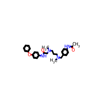 CC(=O)Nc1ccc(CN(C)CCCN(C)CC(=O)Nc2ccc(Oc3ccccc3)cc2)cc1